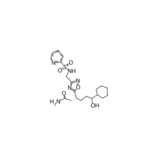 NC(=O)C[C@@H](CCC(O)C1CCCCC1)c1nc(CNS(=O)(=O)c2ccccn2)no1